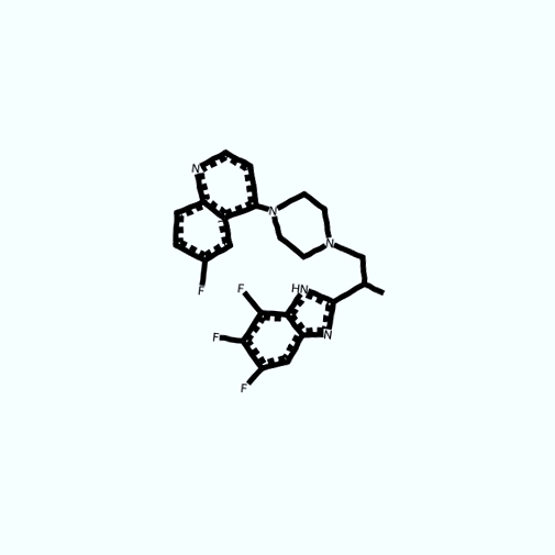 CC(CN1CCN(c2ccnc3ccc(F)cc23)CC1)c1nc2cc(F)c(F)c(F)c2[nH]1